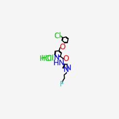 Cl.Cl.O=C(Nc1cnn(CCCCF)c1)c1cc(COc2cccc(Cl)c2)ccn1